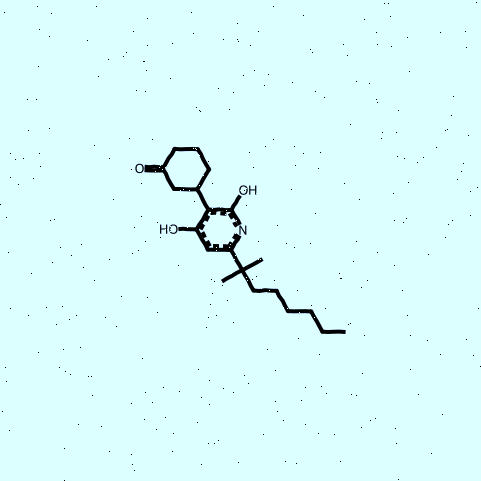 CCCCCCC(C)(C)c1cc(O)c(C2CCCC(=O)C2)c(O)n1